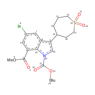 COC(=O)c1cc(Br)cc2c(C3CCCS(=O)(=O)CC3)cn(C(=O)OC(C)(C)C)c12